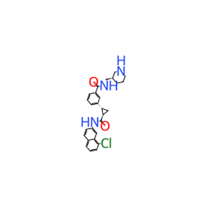 O=C(NC[C@@H]1CCCNC1)c1cccc([C@@H]2C[C@H]2C(=O)Nc2ccc3cccc(Cl)c3c2)c1